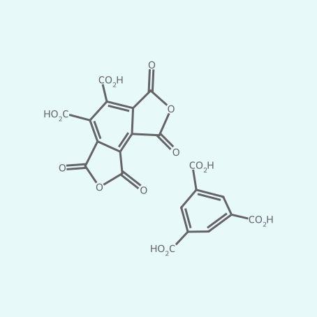 O=C(O)c1c(C(=O)O)c2c(=O)oc(=O)c2c2c(=O)oc(=O)c12.O=C(O)c1cc(C(=O)O)cc(C(=O)O)c1